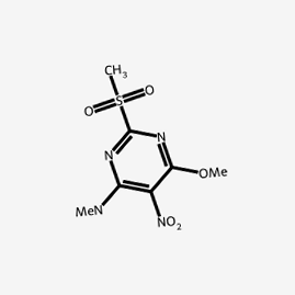 CNc1nc(S(C)(=O)=O)nc(OC)c1[N+](=O)[O-]